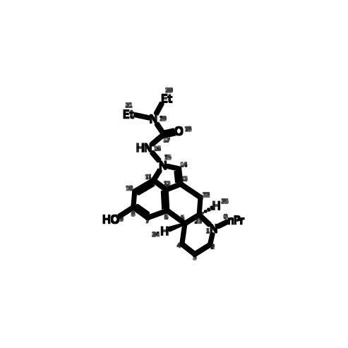 CCCN1CCC[C@@H]2c3cc(O)cc4c3c(cn4NC(=O)N(CC)CC)C[C@H]21